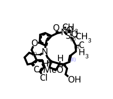 CO[C@@]1(CCO)/C=C/C[C@H](C)[C@@H](C)S(=O)(=O)N(C)C(=O)c2ccc3c(c2)N(C[C@@H]2CC[C@H]21)C[C@@]1(CCCc2cc(Cl)ccc21)CO3